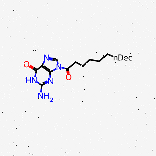 CCCCCCCCCCCCCCCC(=O)n1cnc2c(=O)[nH]c(N)nc21